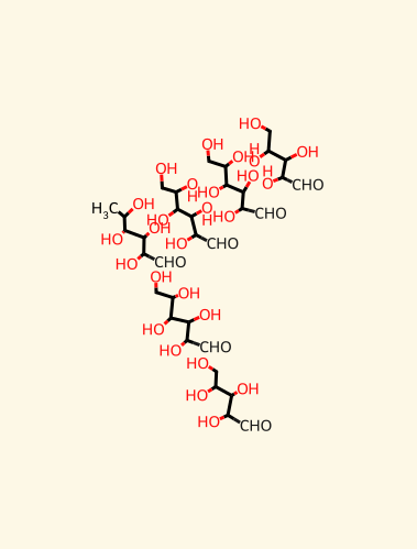 CC(O)C(O)C(O)C(O)C=O.O=CC(O)C(O)C(O)C(O)CO.O=CC(O)C(O)C(O)C(O)CO.O=CC(O)C(O)C(O)C(O)CO.O=CC(O)C(O)C(O)CO.O=CC(O)C(O)C(O)CO